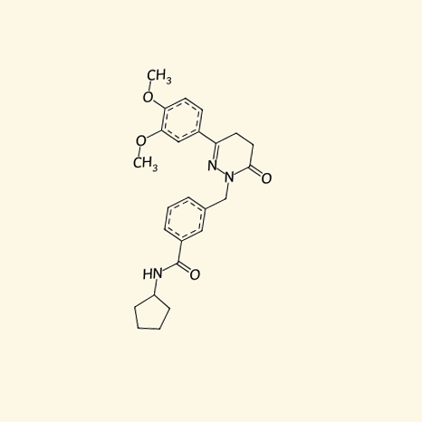 COc1ccc(C2=NN(Cc3cccc(C(=O)NC4CCCC4)c3)C(=O)CC2)cc1OC